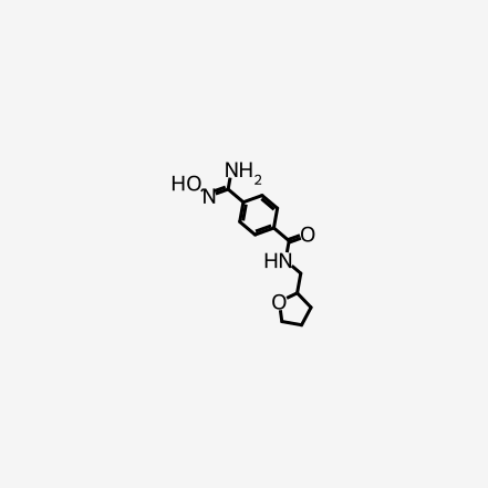 NC(=NO)c1ccc(C(=O)NCC2CCCO2)cc1